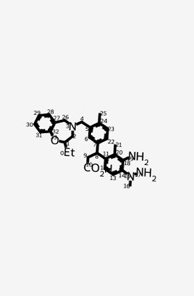 CCC1CN(Cc2cc(C(CC(=O)O)c3ccc(N(C)N)c(N)c3C)ccc2C)Cc2ccccc2O1